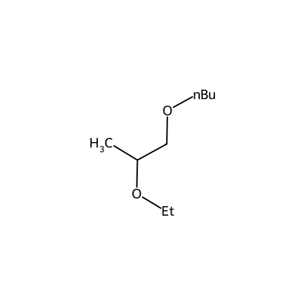 [CH2]COC(C)COCCCC